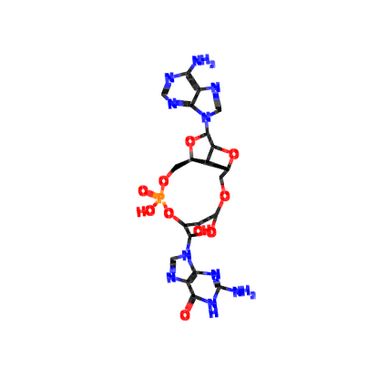 Nc1nc2c(ncn2C2OC3OCC45OC6C(n7cnc8c(N)ncnc87)O[C@]4(COP(=O)(O)OC2C3O)C65)c(=O)[nH]1